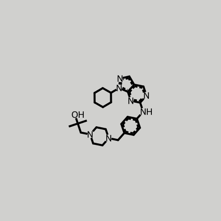 CC(C)(O)CN1CCN(Cc2ccc(Nc3ncc4cnn(C5CCCCC5)c4n3)cc2)CC1